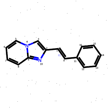 C(=C\c1cn2ccccc2n1)/c1ccccc1